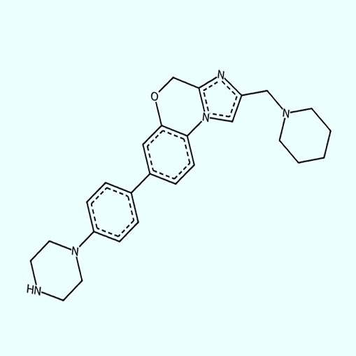 c1cc(N2CCNCC2)ccc1-c1ccc2c(c1)OCc1nc(CN3CCCCC3)cn1-2